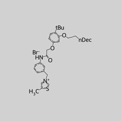 CCCCCCCCCCCCOc1cc(OCC(=O)Nc2cccc(C[n+]3csc(C)c3)c2)ccc1C(C)(C)C.[Br-]